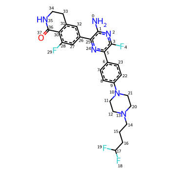 Nc1nc(F)c(-c2ccc(N3CCN(CCCC(F)F)CC3)cc2)nc1-c1cc(F)c2c(c1)CCNC2=O